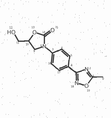 Cc1nc(-c2ccc(N3CC(CO)OC3=O)cc2)no1